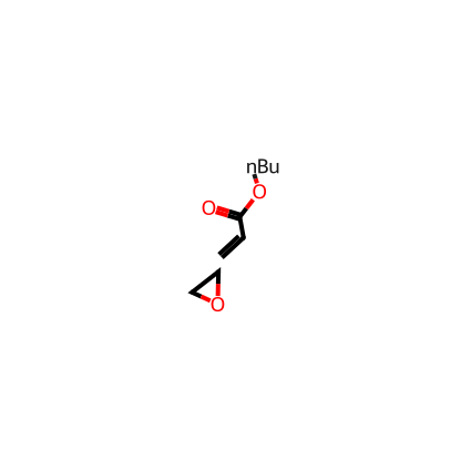 C1CO1.C=CC(=O)OCCCC